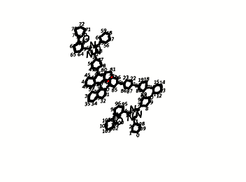 c1ccc(-c2nc(-c3ccc(-c4ccccc4-c4ccc(-c5ccc(-c6cccc(-c7ccc8ccccc8c7-c7c8ccccc8c(-c8ccc(-c9nc(-c%10ccccc%10)nc(-c%10cccc%11c%10oc%10ccccc%10%11)n9)cc8)c8ccccc78)c6)cc5)cc4)cc3)nc(-c3cccc4c3oc3ccccc34)n2)cc1